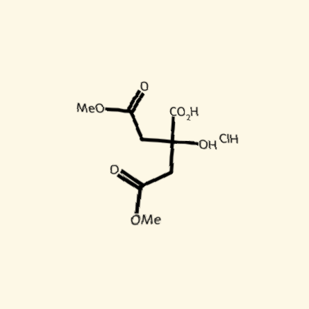 COC(=O)CC(O)(CC(=O)OC)C(=O)O.Cl